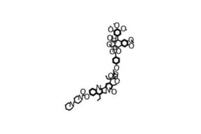 CCc1c2c(nc3ccc(OC(=O)N4CCC(N5CCCCC5)CC4)cc13)-c1cc3c(c(=O)n1C2)COC(=O)C3(CC)OC(=O)COc1ccc(C(=O)OC2c3cc4c(cc3C(c3cc(OC)c(OC)c(OC)c3)[C@H]3C(=O)OC[C@@H]23)OCO4)cc1